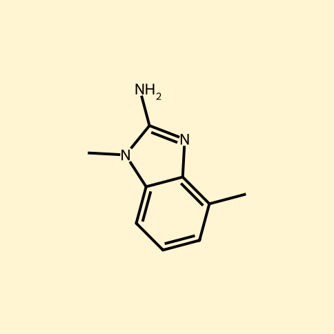 Cc1cccc2c1nc(N)n2C